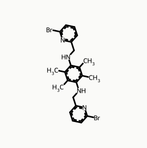 Cc1c(C)c(NCc2cccc(Br)n2)c(C)c(C)c1NCc1cccc(Br)n1